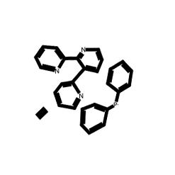 C#C.c1ccc(-c2cccnc2-c2ccccn2)nc1.c1ccc([P]c2ccccc2)cc1